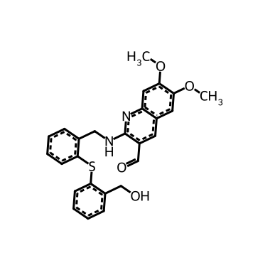 COc1cc2cc(C=O)c(NCc3ccccc3Sc3ccccc3CO)nc2cc1OC